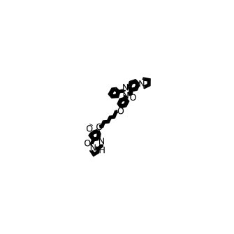 COc1cc2c(cc1OCCCCCCOc1ccc(-n3c(-c4ccccc4)nc4ccc(N5CCCC5)cc4c3=O)cc1)N=C[C@@H]1CCCN1C2=O